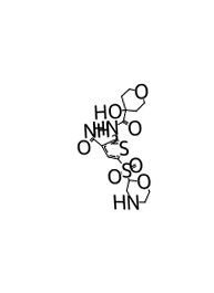 NC(=O)c1cc(S(=O)(=O)C2CNCCO2)sc1NC(=O)C1(O)CCOCC1